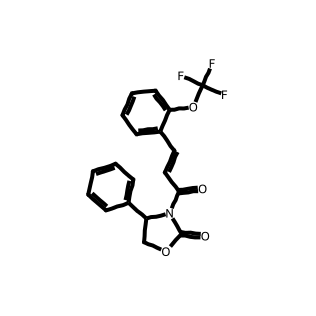 O=C(C=Cc1ccccc1OC(F)(F)F)N1C(=O)OCC1c1ccccc1